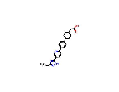 CCc1n[nH]c(-c2ccc(-c3ccc([C@H]4CC[C@H](CC(=O)O)CC4)cc3)nc2)n1